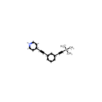 C[Si](C)(C)C#Cc1cccc(C#Cc2ccncc2)c1